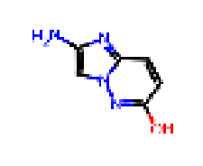 Nc1cn2nc(O)ccc2n1